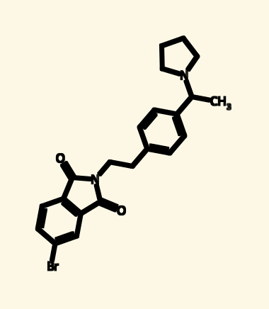 CC(c1ccc(CCN2C(=O)c3ccc(Br)cc3C2=O)cc1)N1CCCC1